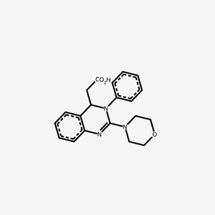 O=C(O)CC1c2ccccc2N=C(N2CCOCC2)N1c1ccccc1